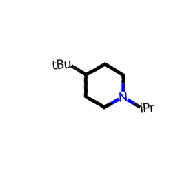 CC(C)N1CCC(C(C)(C)C)CC1